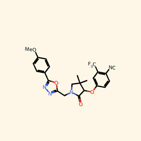 [C-]#[N+]c1ccc(OC2C(=O)N(Cc3nnc(-c4ccc(OC)cc4)o3)CC2(C)C)cc1C(F)(F)F